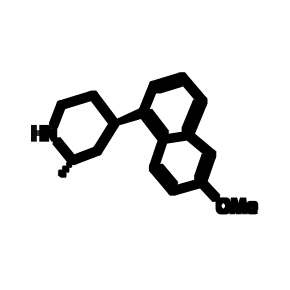 COc1ccc2c([C@@H]3CCN[C@@H](C)C3)cccc2c1